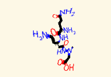 CN(CC(=O)O)NC(=O)C[C@H](CCN)NC(=O)[C@@H](N)CCC(N)=O